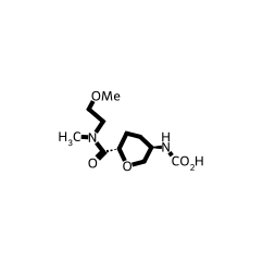 COCCN(C)C(=O)[C@@H]1CC[C@@H](NC(=O)O)CO1